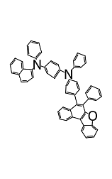 c1ccc(-c2c(-c3ccc(N(c4ccccc4)c4ccc(N(c5ccccc5)c5cccc6ccccc56)cc4)cc3)c3ccccc3c3c2oc2ccccc23)cc1